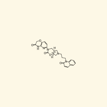 O=C1COc2ccc(N3C[C@H]4CN(CCCn5c(=O)ccc6ccccc65)C[C@@H]4OC3=O)nc2N1